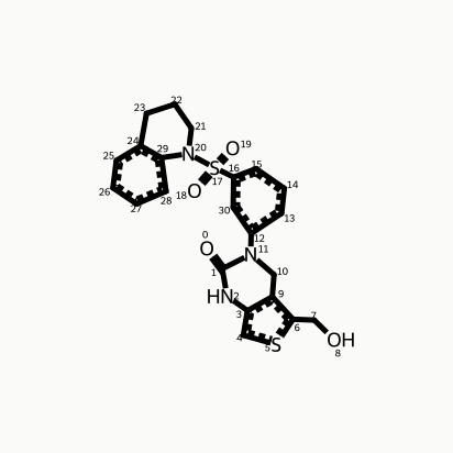 O=C1Nc2csc(CO)c2CN1c1cccc(S(=O)(=O)N2CCCc3ccccc32)c1